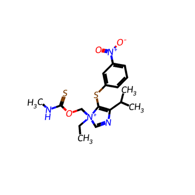 CC[N+]1(COC(=S)NC)C=NC(C(C)C)=C1Sc1cccc([N+](=O)[O-])c1